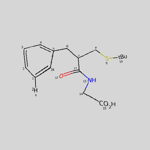 [2H]c1cccc(CC(CSC(C)(C)C)C(=O)NCC(=O)O)c1